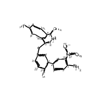 Nc1ccc(-c2cc(Cc3n[nH]c(=O)c4ccc(F)cc34)ccc2F)cc1[N+](=O)[O-]